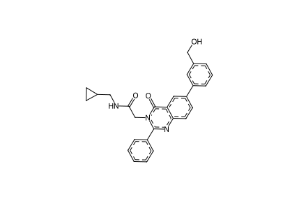 O=C(Cn1c(-c2ccccc2)nc2ccc(-c3cccc(CO)c3)cc2c1=O)NCC1CC1